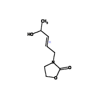 CC(O)/C=C/CN1CCOC1=O